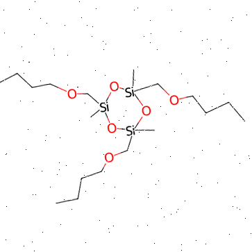 CCCCOC[Si]1(C)O[Si](C)(COCCCC)O[Si](C)(COCCCC)O1